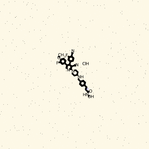 COc1ccc(-c2cnc(N3CCC(NCc4ccc(/C=C/C(=O)NO)cc4)CC3)c(C#N)c2-c2ccc(C#N)c(F)c2)cc1F.Cl